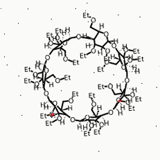 CCOC[C@H]1O[C@@H]2O[C@H]3[C@H](OCC)[C@@H](OCC)[C@@H](O[C@H]4[C@H](OCC)[C@@H](OCC)[C@@H](O[C@H]5[C@H](OCC)[C@@H](OCC)[C@@H](O[C@H]6[C@H](OCC)[C@@H](OCC)[C@@H](O[C@H]7[C@H](OCC)[C@@H](OCC)[C@@H](O[C@H]8[C@H](OCC)[C@@H](OCC)[C@@H](O[C@H]1[C@H](OCC)[C@H]2OCC)O[C@@H]8COCC)O[C@@H]7COCC)O[C@@H]6COCC)O[C@@H]5COCC)O[C@@H]4COCC)O[C@@H]3COCC